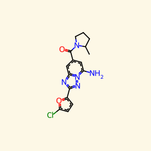 CC1CCCN1C(=O)c1cc(N)n2nc(-c3ccc(Cl)o3)nc2c1